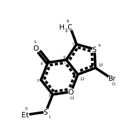 CCSc1cc(=O)c2c(C)sc(Br)c2o1